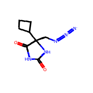 [N-]=[N+]=NCC1(C2CCC2)NC(=O)NC1=O